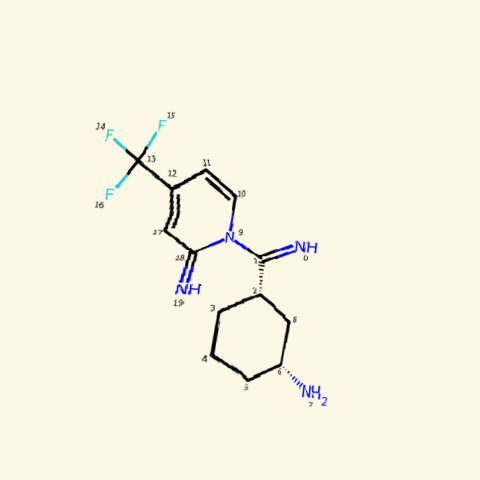 N=C([C@H]1CCC[C@@H](N)C1)n1ccc(C(F)(F)F)cc1=N